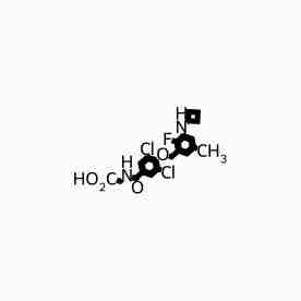 Cc1cc(COc2c(Cl)cc(C(=O)NCC(=O)O)cc2Cl)c(F)c(NC2CCC2)c1